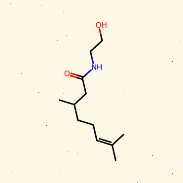 CC(C)=CCCC(C)CC(=O)NCCO